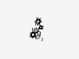 O=C(N[C@@H]1CC[C@@H]1c1ccccn1)c1ccccc1C(F)(F)F